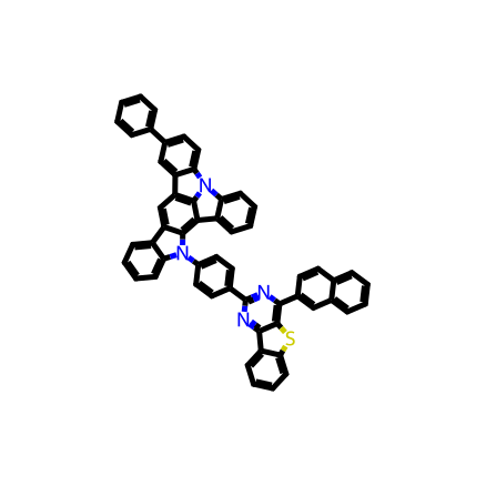 c1ccc(-c2ccc3c(c2)c2cc4c5ccccc5n(-c5ccc(-c6nc(-c7ccc8ccccc8c7)c7sc8ccccc8c7n6)cc5)c4c4c5ccccc5n3c24)cc1